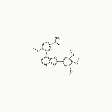 COc1ccc([C@H](C)N)cc1-c1ccnc2cc(-c3cc(OC)c(OC)c(OC)c3)oc12